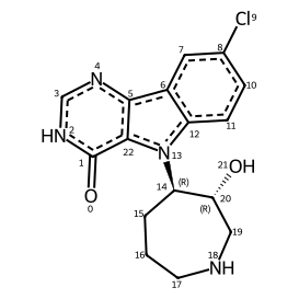 O=c1[nH]cnc2c3cc(Cl)ccc3n([C@@H]3CCCNC[C@H]3O)c12